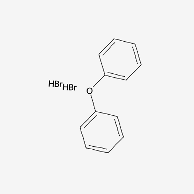 Br.Br.c1ccc(Oc2ccccc2)cc1